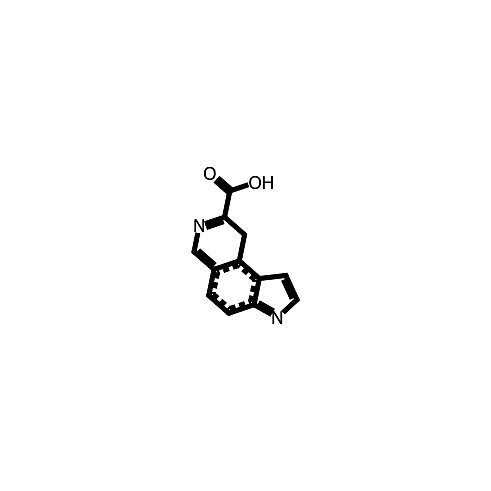 O=C(O)C1=NC=c2ccc3c(c2C1)C=CN=3